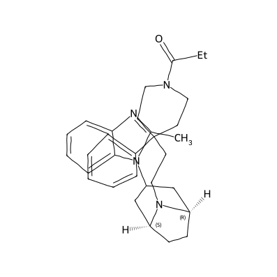 CCC(=O)N1CCC(CCN2[C@@H]3CC[C@H]2CC(n2c(C)nc4ccccc42)C3)(c2ccccc2)CC1